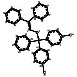 Clc1ccc(C(ON=C(c2ccccc2)c2ccccc2)(c2ccccc2)c2ccc(Cl)cc2)cc1